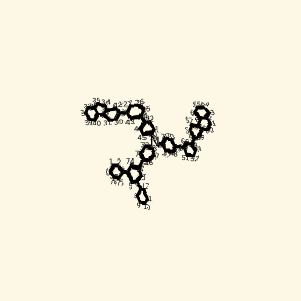 c1ccc(-c2cc(-c3ccccc3)cc(-c3ccc(N(c4ccc(-c5cccc(-c6ccc7c(ccc8ccccc87)c6)c5)cc4)c4ccc(-c5cccc(-c6ccc7c(ccc8ccccc87)c6)c5)cc4)cc3)c2)cc1